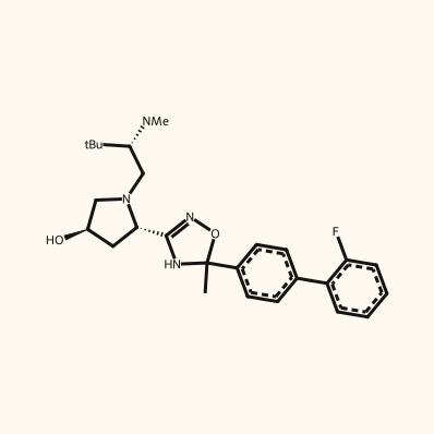 CN[C@H](CN1C[C@H](O)C[C@H]1C1=NOC(C)(c2ccc(-c3ccccc3F)cc2)N1)C(C)(C)C